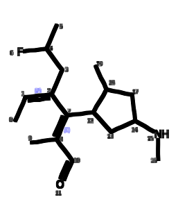 C/C=C(CC(C)F)\C(=C(/C)C=O)C1CC(NC)CC1C